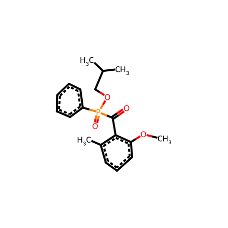 COc1cccc(C)c1C(=O)P(=O)(OCC(C)C)c1ccccc1